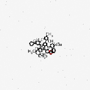 Cc1cc(C)c(-c2cc3c4c(c2)N(c2ccc(C(C)(C)C)cc2-c2ccccc2)c2c(ccc5oc6ccccc6c25)B4c2cc4c(cc2N3c2ccc3oc5ccccc5c3c2)C(C)(C)CCC4(C)C)c(C)c1